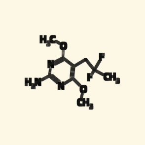 COc1nc(N)nc(OC)c1CC(C)(F)F